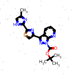 Cc1c[nH]c(-c2nc(-c3nn(C(=O)OC(C)(C)C)c4ncccc34)cs2)n1